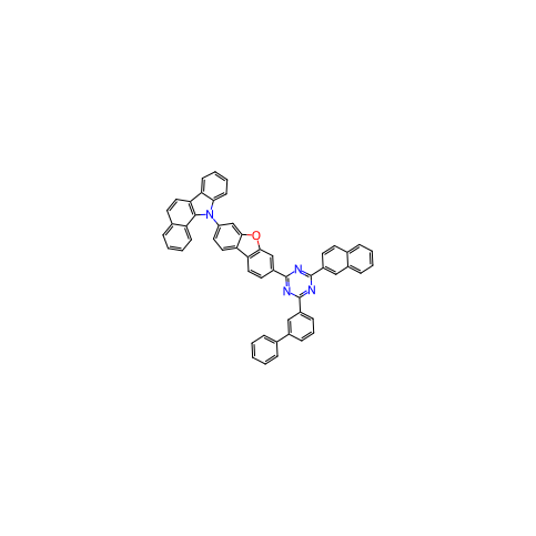 c1ccc(-c2cccc(-c3nc(-c4ccc5ccccc5c4)nc(-c4ccc5c(c4)oc4cc(-n6c7ccccc7c7ccc8ccccc8c76)ccc45)n3)c2)cc1